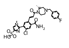 C[C@@H]1CN(Cc2ccc(F)cc2)CCN1C(=O)C=Cc1cc(-c2nc(S(=O)(=O)O)cn2C)c(Cl)cc1C(N)=O